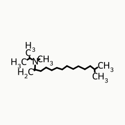 C=C(CCCCCCCCCCC(C)C)N(C)C(C)C